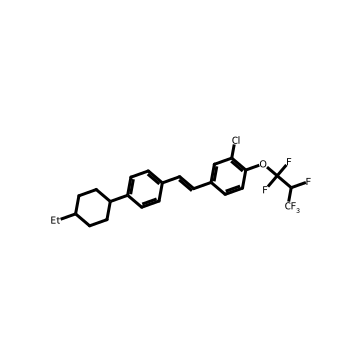 CCC1CCC(c2ccc(C=Cc3ccc(OC(F)(F)C(F)C(F)(F)F)c(Cl)c3)cc2)CC1